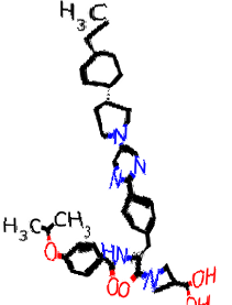 CCC[C@H]1CC[C@H](C2CCN(c3cnc(-c4ccc(C[C@H](NC(=O)c5ccc(OC(C)C)cc5)C(=O)N5CC(C(O)O)C5)cc4)nc3)CC2)CC1